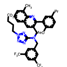 CCOC(=O)CCCn1nnc(N(Cc2cc(C(F)(F)F)cc(C(F)(F)F)c2)Cc2cc3cccc(C)c3nc2-c2cc(C(C)C)ccc2OC)n1